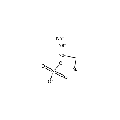 O=S(=O)([O-])[O-].[Na+].[Na+].[Na][CH2][Na]